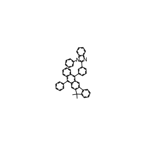 CC1(C)c2ccccc2-c2cc3c(-c4cccc(-c5nc6ccccc6n5-c5ccccc5)c4)c4ccccc4c(-c4ccccc4)c3cc21